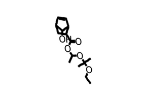 CCOC(C)(C)OC(C)OC(=O)C1CC2C=CC1C2O